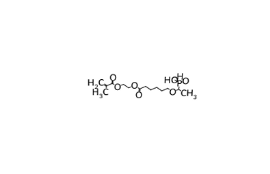 C=C(C)C(=O)OCCOC(=O)CCCCCOC(C)[PH](=O)O